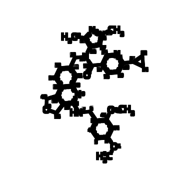 COc1ccc(CNc2nc3cc(CN(C(=O)c4ccc(C5CC5)nc4)c4cn(C)nc4C)ccc3c3c2COC3)c(OC)c1